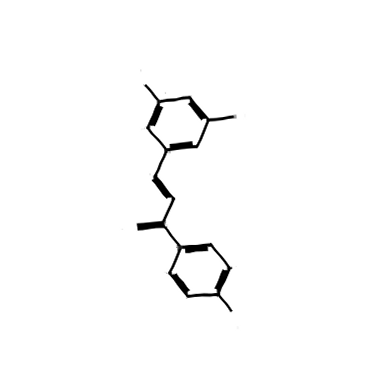 CCc1ccc(C(=S)C=Cc2cc(CC)cc(CC)c2)cc1